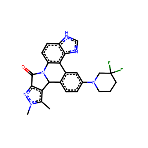 Cc1c2c(nn1C)C(=O)N1c3ccc4[nH]cnc4c3-c3cc(N4CCCC(F)(F)C4)ccc3C21